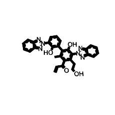 C=CC(=O)c1c(C)c(-c2cccc(-n3nc4ccccc4n3)c2O)c(O)c(-n2nc3ccccc3n2)c1CCO